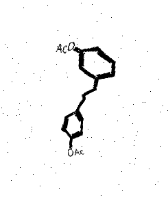 CC(=O)Oc1ccc(CCc2cccc(OC(C)=O)c2)cc1